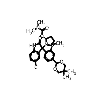 COc1cc(C2OCC(C)(C)CO2)ccc1C1(N2CCC[C@@H]2OC(=O)N(C)C)C(=O)Nc2ccc(Cl)cc21